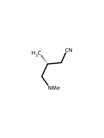 CNC[C@H](C)CC#N